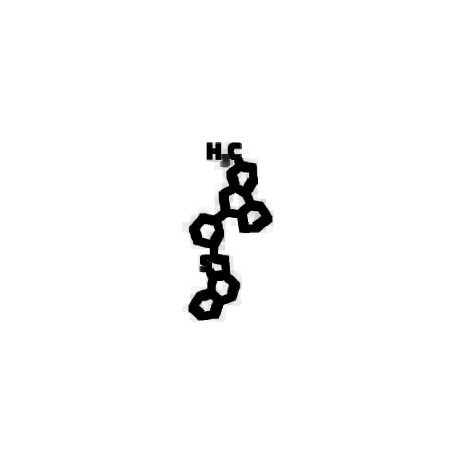 Cc1ccc2c(c1)cc(-c1cccc(-c3cc4ccc5ccccc5c4s3)c1)c1ccccc12